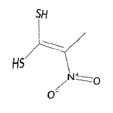 CC(=C(S)S)[N+](=O)[O-]